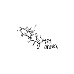 CCCCCCNC(=O)CC1(C)OCCn2c1c(C)c1ccccc12